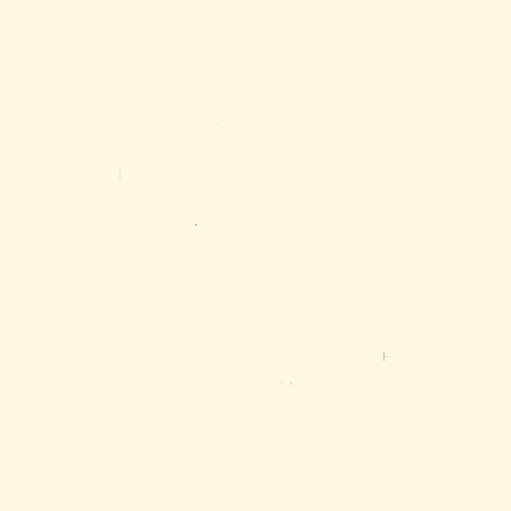 CC(C)(O)C1c2cc(OCC(=O)OC(O)C(F)(F)S(=O)(=O)O)cc(c2)C1C(C)(C)O